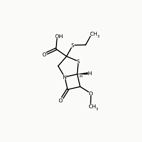 CCSC1(C(=O)O)CN2C(=O)C(OC)[C@H]2S1